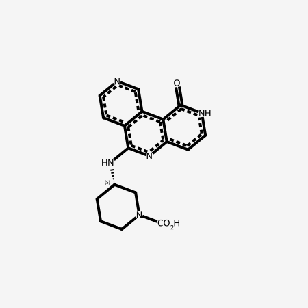 O=C(O)N1CCC[C@H](Nc2nc3cc[nH]c(=O)c3c3cnccc23)C1